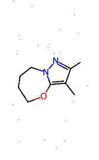 Cc1nn2c(c1C)OCCCC2